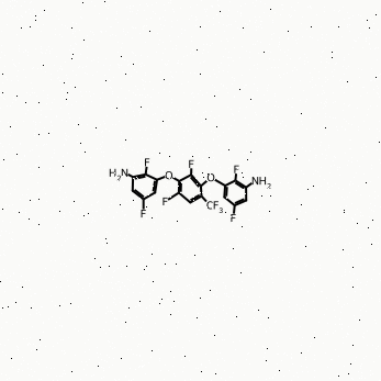 Nc1cc(F)cc(Oc2c(F)cc(C(F)(F)F)c(Oc3cc(F)cc(N)c3F)c2F)c1F